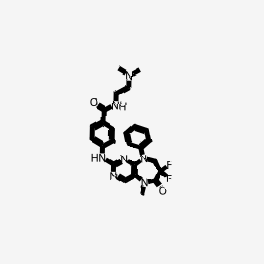 CN(C)CCNC(=O)c1ccc(Nc2ncc3c(n2)N(c2ccccc2)CC(F)(F)C(=O)N3C)cc1